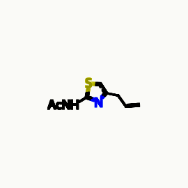 C=CCc1csc(NC(C)=O)n1